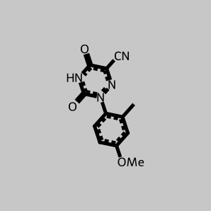 COc1ccc(-n2nc(C#N)c(=O)[nH]c2=O)c(C)c1